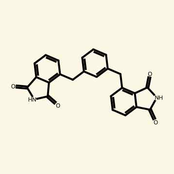 O=C1NC(=O)c2c(Cc3cccc(Cc4cccc5c4C(=O)NC5=O)c3)cccc21